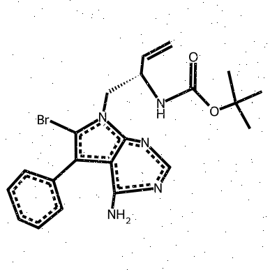 C=C[C@@H](Cn1c(Br)c(-c2ccccc2)c2c(N)ncnc21)NC(=O)OC(C)(C)C